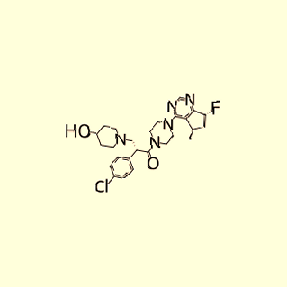 C[C@@H]1C[C@@H](F)c2ncnc(N3CCN(C(=O)[C@@H](CN4CCC(O)CC4)c4ccc(Cl)cc4)CC3)c21